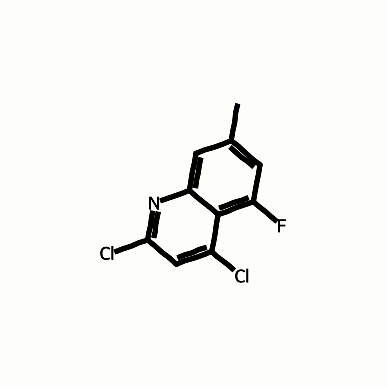 Cc1cc(F)c2c(Cl)cc(Cl)nc2c1